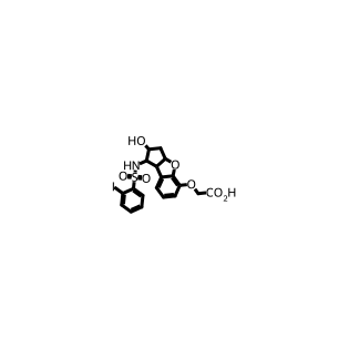 O=C(O)COc1cccc2c1OC1CC(O)C(NS(=O)(=O)c3ccccc3I)C21